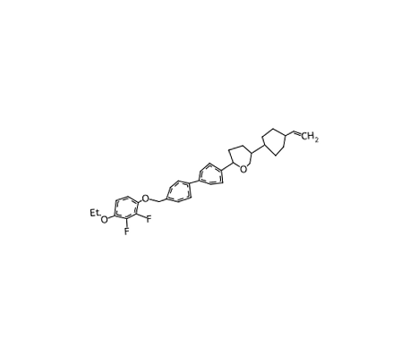 C=CC1CCC(C2CCC(c3ccc(-c4ccc(COc5ccc(OCC)c(F)c5F)cc4)cc3)OC2)CC1